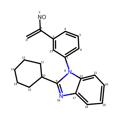 C=C(N=O)c1cccc(-n2c(C3CCCCC3)nc3ccccc32)c1